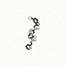 O=C(Cn1c(Cl)cnc(NCCc2ccccn2)c1=O)NCc1csc2ccc(Cl)cc12